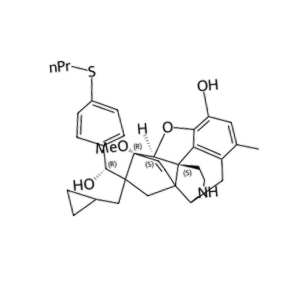 CCCSc1ccc([C@@H](O)C2(CC3CC3)CC34C=C[C@]2(OC)[C@H]2Oc5c(O)cc(C)c6c5[C@@]23CCNC4C6)cc1